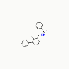 Cc1c(CN[C@H](C)c2ccccc2)cccc1-c1ccccc1